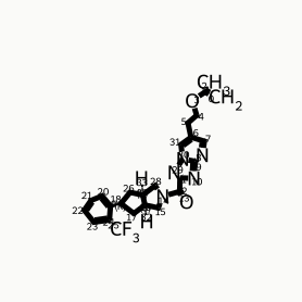 C=C(C)OCCc1cnc2nc(C(=O)N3C[C@H]4C[C@@H](c5ccccc5C(F)(F)F)C[C@H]4C3)nn2c1